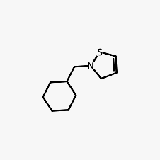 C1=CSN(CC2CCCCC2)C1